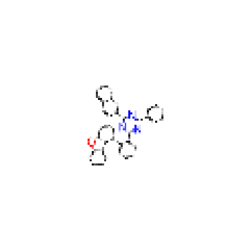 C1=CC2Oc3ccccc3C2C(c2ccccc2-c2nc(-c3ccccc3)nc(-c3ccc4ccccc4c3)n2)=C1